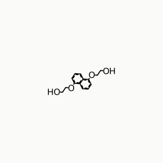 OCCOc1cccc2c(OCCO)cccc12